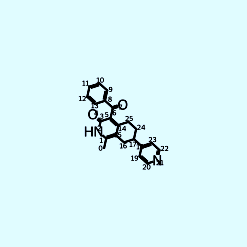 Cc1[nH]c(=O)c(C(=O)c2ccccc2)c2c1CC(c1ccncc1)CC2